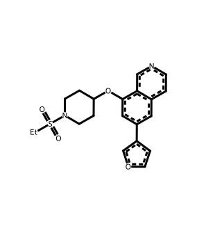 CCS(=O)(=O)N1CCC(Oc2cc(-c3ccoc3)cc3ccncc23)CC1